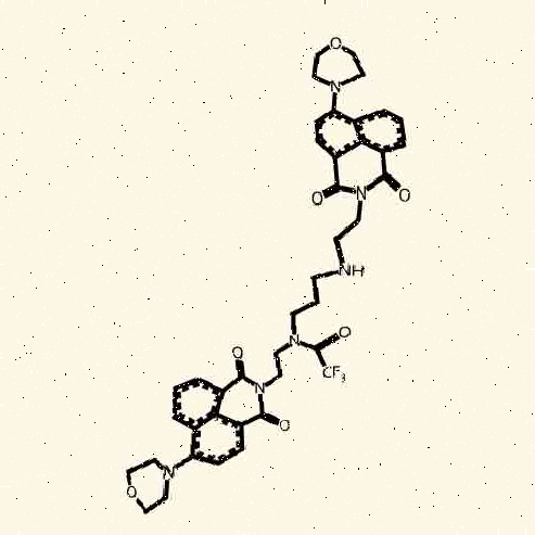 O=C1c2cccc3c(N4CCOCC4)ccc(c23)C(=O)N1CCNCCCN(CCN1C(=O)c2cccc3c(N4CCOCC4)ccc(c23)C1=O)C(=O)C(F)(F)F